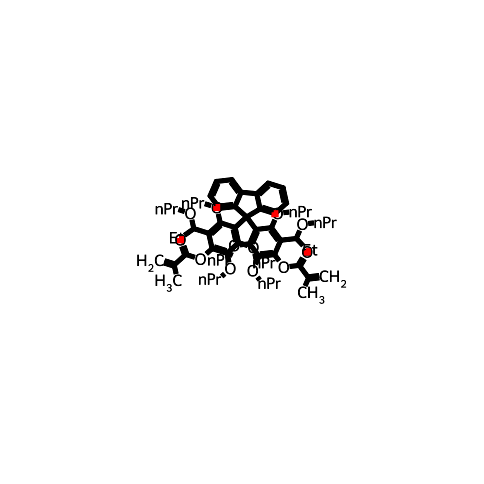 C=C(C)C(=O)Oc1c(OCCC)c(OCCC)c(C2(c3c(OCCC)c(OCCC)c(OC(=O)C(=C)C)c(C(CC)OCCC)c3OCCC)c3ccccc3-c3ccccc32)c(OCCC)c1C(CC)OCCC